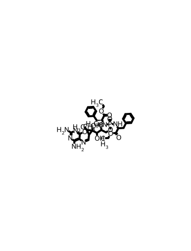 CCOC(=O)C(Cc1ccccc1)NP(=O)(N[C@@H](Cc1ccccc1)C(=O)OCC)OCC(OC)C(O)C1(O)C(C)C1/C=N\c1c(N)nc(N)nc1OC